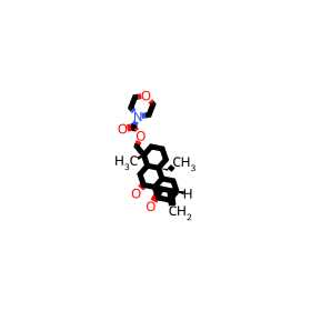 C=C1C(=O)C23CC[C@H]1CC2[C@]1(CC)CCC[C@@](C)(COC(=O)N2CCOCC2)C1CC3=O